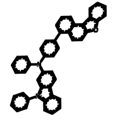 c1ccc(N(c2ccc(-c3cccc4c3ccc3oc5ccccc5c34)cc2)c2ccc3c4ccccc4n(-c4ccccc4)c3c2)cc1